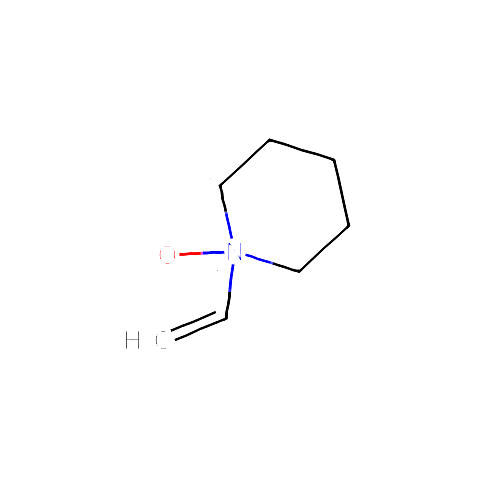 C=C[N+]1([O-])CCCCC1